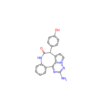 Nc1nc2c3c(ccn3n1)C(c1ccc(O)cc1)C(=O)Nc1ccccc1-2